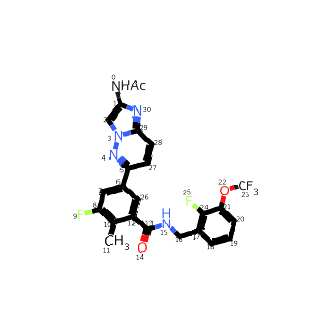 CC(=O)Nc1cn2nc(-c3cc(F)c(C)c(C(=O)NCc4cccc(OC(F)(F)F)c4F)c3)ccc2n1